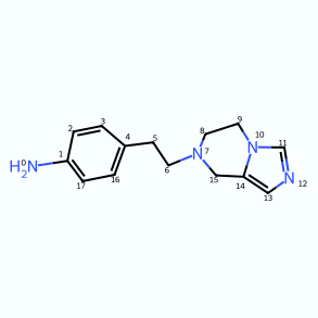 Nc1ccc(CCN2CCn3cncc3C2)cc1